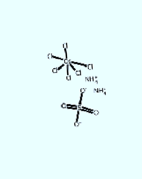 O=S(=O)([O-])[O-].[Cl][Os]([Cl])([Cl])([Cl])([Cl])[Cl].[NH4+].[NH4+]